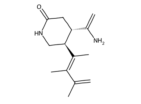 C=C(C)/C(C)=C(\C)[C@H]1CNC(=O)C[C@@H]1C(=C)N